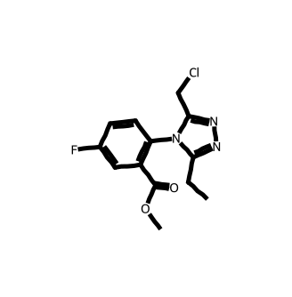 CCc1nnc(CCl)n1-c1ccc(F)cc1C(=O)OC